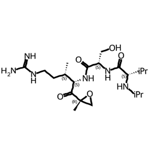 CC(C)N[C@H](C(=O)N[C@@H](CO)C(=O)N[C@H](C(=O)[C@@]1(C)CO1)[C@@H](C)CCNC(=N)N)C(C)C